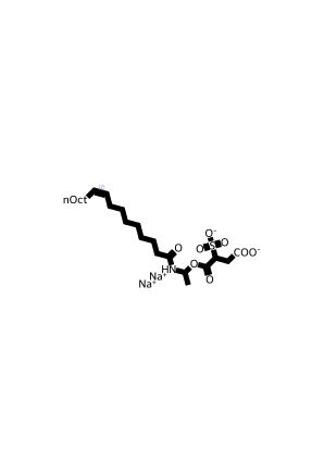 CCCCCCCC/C=C\CCCCCCCC(=O)NC(C)OC(=O)C(CC(=O)[O-])S(=O)(=O)[O-].[Na+].[Na+]